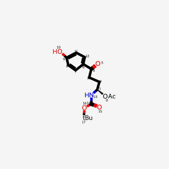 CC(=O)O[C@H](CCC(=O)c1ccc(O)cc1)NC(=O)OC(C)(C)C